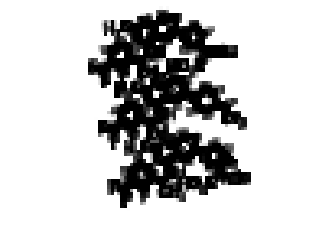 Cc1nc(N[C@H](C)c2cccc(C(F)F)c2F)c2cc(N3CC4CC4(N(C(=O)O)C(C)(C)C)C3)ncc2n1.Cc1nc(N[C@H](C)c2cccc(C(F)F)c2F)c2cc(N3CCN(CC(F)(F)F)CC3)ncc2n1.Cc1nc(N[C@H](C)c2cccc(C(F)F)c2F)c2cc(N3CC[C@@H](N(C(=O)O)C(C)(C)C)C3)ncc2n1